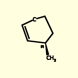 C[C@H]1C=CCCC1